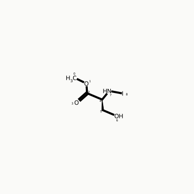 COC(=O)[C@H](CO)NI